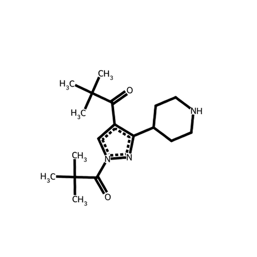 CC(C)(C)C(=O)c1cn(C(=O)C(C)(C)C)nc1C1CCNCC1